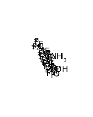 N.O=S(=O)(O)C(F)(F)C(F)(F)C(F)(F)C(F)(F)C(F)(F)C(F)(F)C(F)(F)CCC(F)(F)F